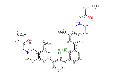 COc1cc(-c2cccc(-c3cccc(-c4cc5c(c(OC)c4)CN(CC(O)CC(=O)O)CC5)c3Cl)c2Cl)cc2c1CN(CC(O)CC(=O)O)CC2